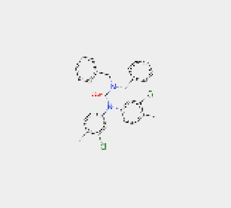 Cc1ccc(N(C(=O)N(Cc2ccccc2)Cc2ccccc2)c2ccc(C)c(Cl)c2)cc1Cl